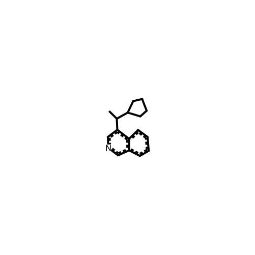 CC(c1cncc2ccccc12)C1CCCC1